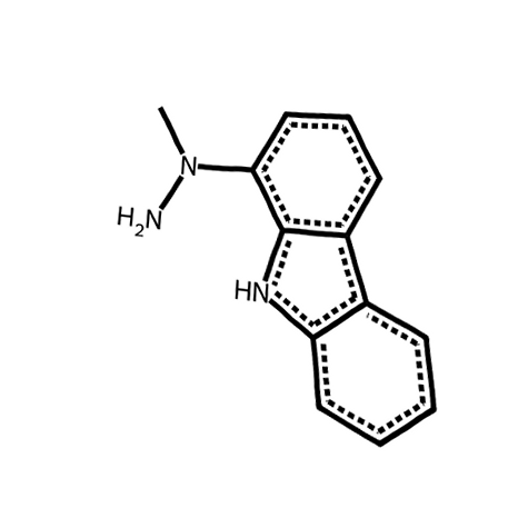 CN(N)c1cccc2c1[nH]c1ccccc12